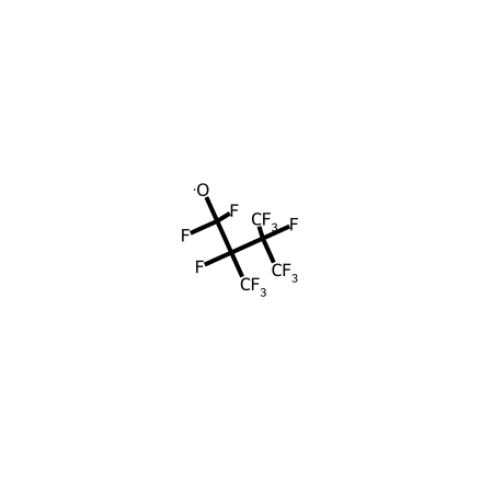 [O]C(F)(F)C(F)(C(F)(F)F)C(F)(C(F)(F)F)C(F)(F)F